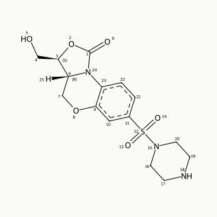 O=C1O[C@H](CO)[C@H]2COc3cc(S(=O)(=O)N4CCNCC4)ccc3N12